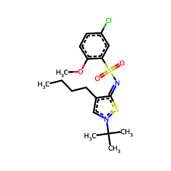 CCCCc1cn(C(C)(C)C)sc1=NS(=O)(=O)c1cc(Cl)ccc1OC